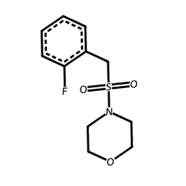 O=S(=O)(Cc1ccccc1F)N1CCOCC1